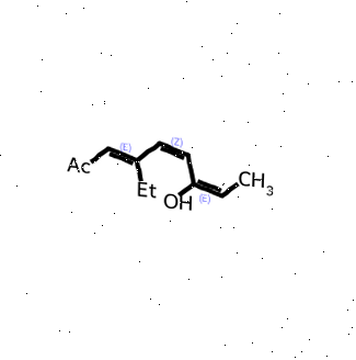 C\C=C(O)/C=C\C(=C\C(C)=O)CC